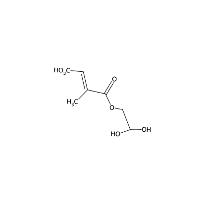 C/C(=C\C(=O)O)C(=O)OCC(O)O